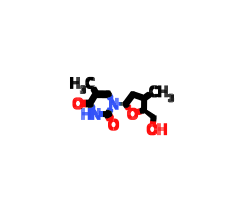 Cc1cn([C@@H]2CC(C)[C@@H](CO)O2)c(=O)[nH]c1=O